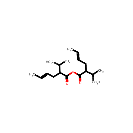 C/C=C/CC(C(=O)OC(=O)C(C/C=C/C)C(C)C(=O)O)C(C)C(=O)O